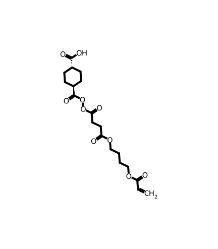 C=CC(=O)OCCCCOC(=O)CCC(=O)OOC(=O)[C@H]1CC[C@H](C(=O)O)CC1